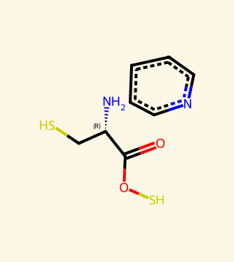 N[C@@H](CS)C(=O)OS.c1ccncc1